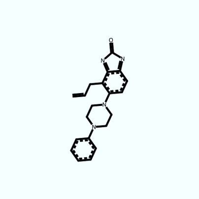 C=CCc1c(N2CCN(c3ccccc3)CC2)ccc2c1=NC(=O)N=2